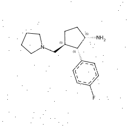 N[C@H]1CC[C@H](CN2CCCC2)[C@H]1c1ccc(F)cc1